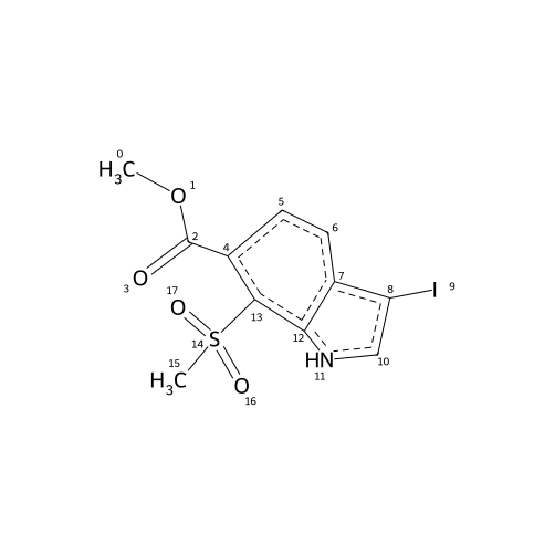 COC(=O)c1ccc2c(I)c[nH]c2c1S(C)(=O)=O